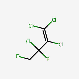 FCC(F)(Cl)C(Cl)=C(Cl)Cl